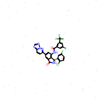 O=C(Nc1cc(-c2ccc3ncnn3n2)cc2c1[C@@H](c1cc(F)ccc1Cl)NC2=O)c1cc(F)cc(C(F)(F)F)c1